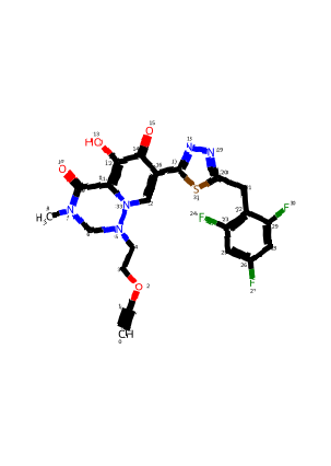 C#COCCN1CN(C)C(=O)c2c(O)c(=O)c(-c3nnc(Cc4c(F)cc(F)cc4F)s3)cn21